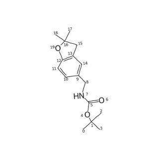 CC(C)(C)OC(=O)NCc1ccc2c(c1)CC(C)(C)O2